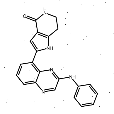 O=C1NCCc2[nH]c(-c3cccc4ncc(Nc5ccccc5)nc34)cc21